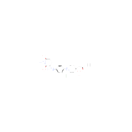 CC(=O)CC1(O)CCN(c2ccc(NC3CCC(=O)NC3=O)cc2Cl)CC1